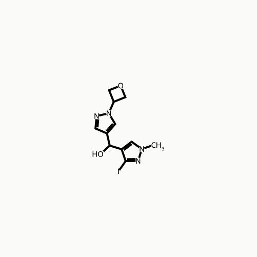 Cn1cc(C(O)c2cnn(C3COC3)c2)c(I)n1